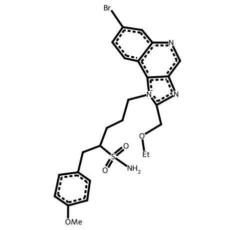 CCOCc1nc2cnc3cc(Br)ccc3c2n1CCCC(Cc1ccc(OC)cc1)S(N)(=O)=O